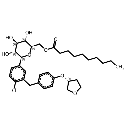 CCCCCCCCCC(=O)OC[C@H]1O[C@@H](c2ccc(Cl)c(Cc3ccc(O[C@@H]4CCOC4)cc3)c2)[C@H](O)[C@@H](O)[C@@H]1O